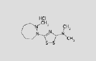 CN(C)C1N=C(N2CCCCCN2C)SS1.Cl